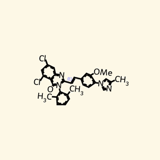 COc1cc(/C=C/c2nc3cc(Cl)cc(Cl)c3c(=O)n2-c2c(C)cccc2C)ccc1-n1cnc(C)c1